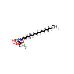 CCCCCCCCCCCCCCC=CCC1=NC(O)(O)C(C)O1